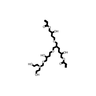 C=CC(=O)OCC(O)CCOCC(CCC(O)COC(=O)C=C)COCCC(O)COCN(CCO)CCO